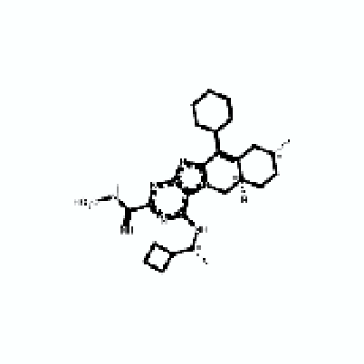 C[C@@H]1CC[C@H]2Cn3c(nc4nc(C(=N)NC(=O)O)nc(N[C@H](C)C5CCC5)c43)C(C3CCCCC3)=C2C1